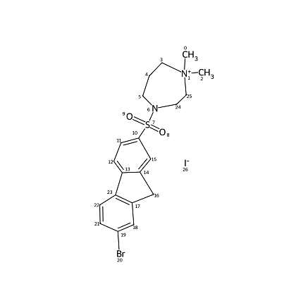 C[N+]1(C)CCCN(S(=O)(=O)c2ccc3c(c2)Cc2cc(Br)ccc2-3)CC1.[I-]